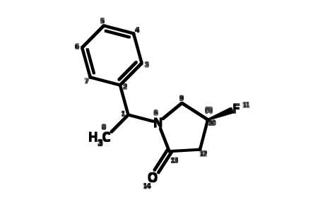 CC(c1ccccc1)N1C[C@@H](F)CC1=O